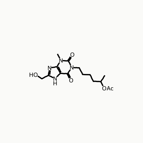 CC(=O)OC(C)CCCCn1c(=O)c2[nH]c(CO)nc2n(C)c1=O